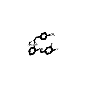 COC[C@H](Cc1ccc(C)cc1)Nc1ccccc1NCc1ccc(Br)c(F)c1